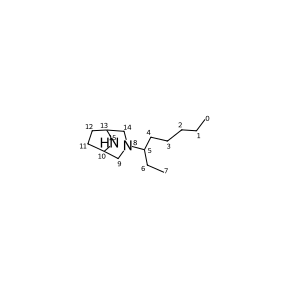 CCCCCC(CC)N1CC2CCC(C1)N2